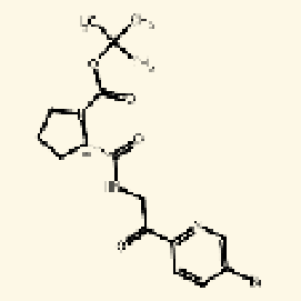 CC(C)(C)OC(=O)N1CCC[C@H]1C(=O)NCC(=O)c1ccc(Br)cn1